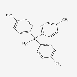 C[Si](c1ccc(C(F)(F)F)cc1)(c1ccc(C(F)(F)F)cc1)c1ccc(C(F)(F)F)cc1